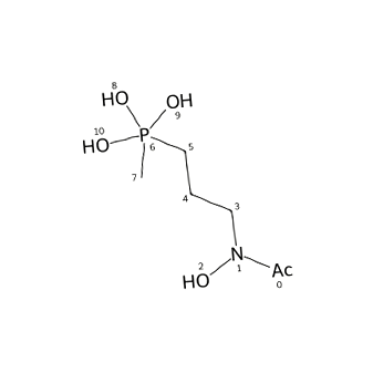 CC(=O)N(O)CCCP(C)(O)(O)O